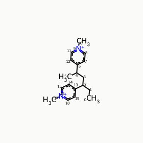 CCC(CC(C)c1cc[n+](C)cc1)c1cc[n+](C)cc1